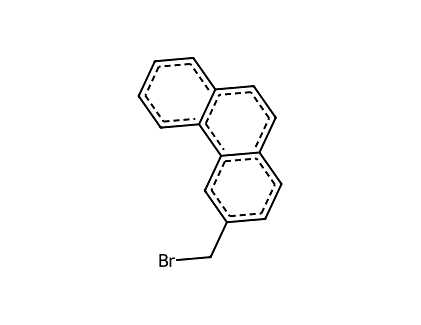 BrCc1ccc2ccc3ccccc3c2c1